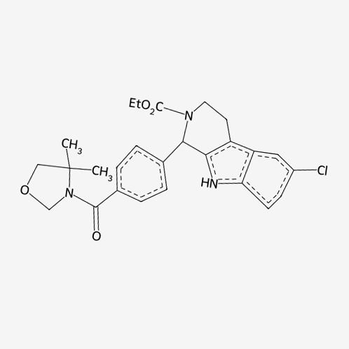 CCOC(=O)N1CCc2c([nH]c3ccc(Cl)cc23)C1c1ccc(C(=O)N2COCC2(C)C)cc1